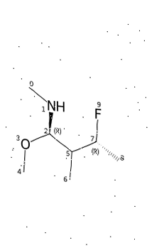 CN[C@H](OC)C(C)[C@@H](C)F